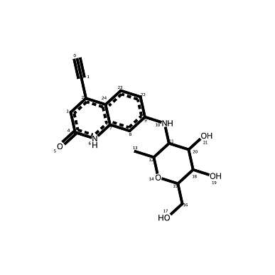 C#Cc1cc(=O)[nH]c2cc(NC3C(C)OC(CO)C(O)C3O)ccc12